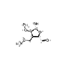 O=C[C@H]1O[C@@H](S)C(OP)C1COP